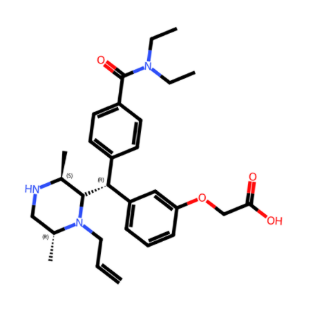 C=CCN1C([C@H](c2ccc(C(=O)N(CC)CC)cc2)c2cccc(OCC(=O)O)c2)[C@H](C)NC[C@H]1C